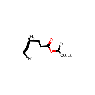 CCOC(=O)C(CC)OC(=O)CCC(C)=C=CC(C)C